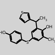 Cc1cc(Sc2ccc(O)cc2)cc(C(C)c2ccsc2)c1O